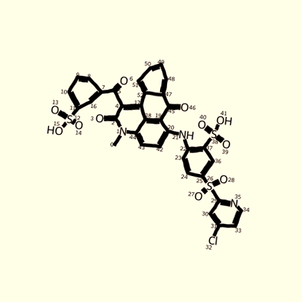 Cn1c(=O)c(C(=O)c2cccc(S(=O)(=O)O)c2)c2c3c(c(Nc4ccc(S(=O)(=O)c5cc(Cl)ccn5)cc4S(=O)(=O)O)ccc31)C(=O)c1ccccc1-2